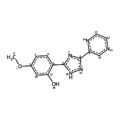 COc1ccc(-c2nc(-c3cnccn3)n[nH]2)c(O)c1